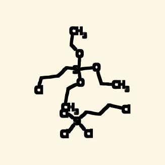 CCO[Si](CCCCl)(OCC)OCC.ClCCC[Si](Cl)(Cl)Cl